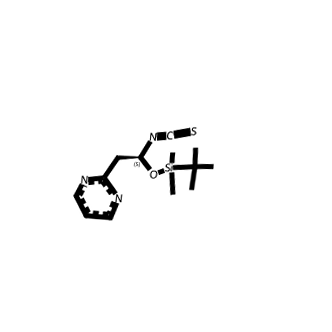 CC(C)(C)[Si](C)(C)O[C@@H](Cc1ncccn1)N=C=S